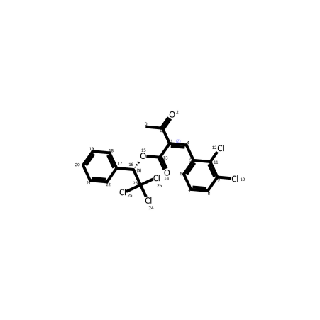 CC(=O)/C(=C/c1cccc(Cl)c1Cl)C(=O)O[C@@H](c1ccccc1)C(Cl)(Cl)Cl